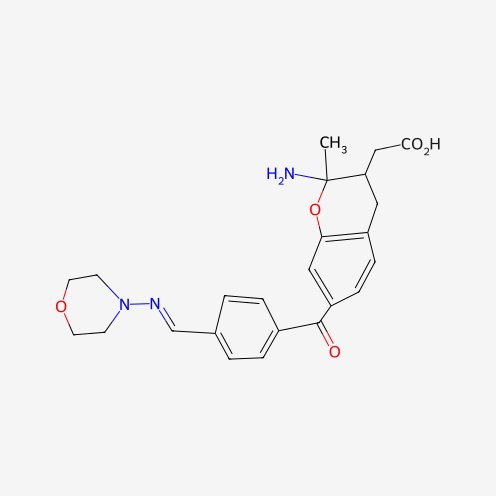 CC1(N)Oc2cc(C(=O)c3ccc(C=NN4CCOCC4)cc3)ccc2CC1CC(=O)O